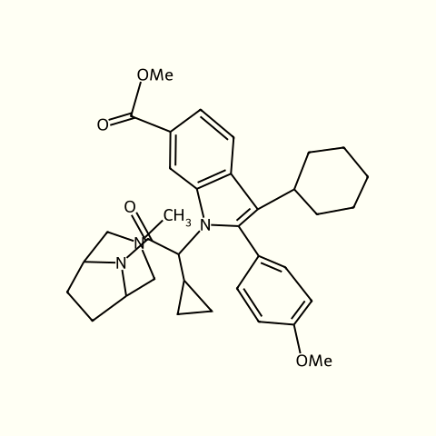 COC(=O)c1ccc2c(C3CCCCC3)c(-c3ccc(OC)cc3)n(C(C(=O)N3C4CCC3CN(C)C4)C3CC3)c2c1